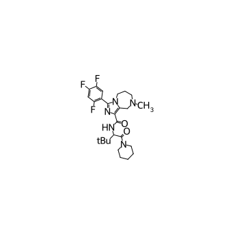 CN1CCCn2c(-c3cc(F)c(F)cc3F)nc(C(=O)NC(C(=O)N3CCCCC3)C(C)(C)C)c2C1